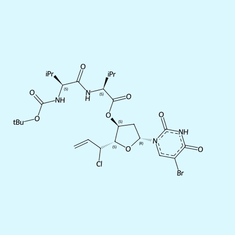 C=CC(Cl)[C@H]1O[C@@H](n2cc(Br)c(=O)[nH]c2=O)C[C@@H]1OC(=O)[C@@H](NC(=O)[C@@H](NC(=O)OC(C)(C)C)C(C)C)C(C)C